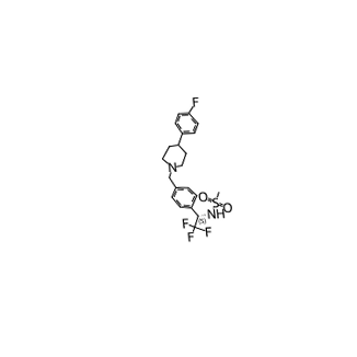 CS(=O)(=O)N[C@@H](c1ccc(CN2CCC(c3ccc(F)cc3)CC2)cc1)C(F)(F)F